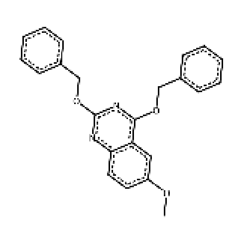 COc1ccc2nc(OCc3ccccc3)nc(OCc3ccccc3)c2c1